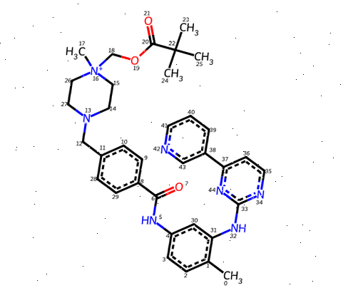 Cc1ccc(NC(=O)c2ccc(CN3CC[N+](C)(COC(=O)C(C)(C)C)CC3)cc2)cc1Nc1nccc(-c2cccnc2)n1